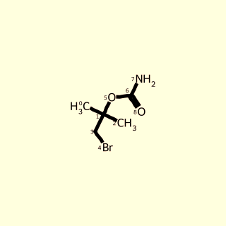 CC(C)(CBr)OC(N)=O